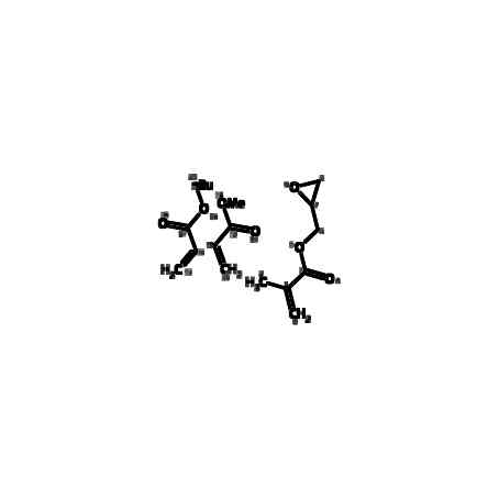 C=C(C)C(=O)OCC1CO1.C=CC(=O)OC.C=CC(=O)OCCCC